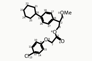 COCC(COC(=O)COc1ccc(Cl)cc1)c1ccc(C2CCCCC2)cc1